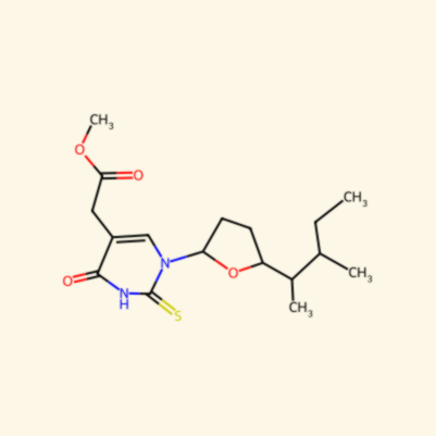 CCC(C)C(C)C1CCC(n2cc(CC(=O)OC)c(=O)[nH]c2=S)O1